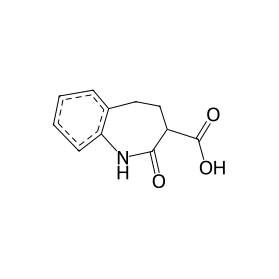 O=C(O)C1CCc2ccccc2NC1=O